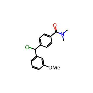 COc1cccc(C(Cl)c2ccc(C(=O)N(C)C)cc2)c1